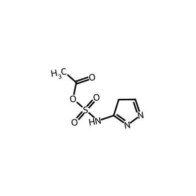 CC(=O)OS(=O)(=O)NC1=NN=CC1